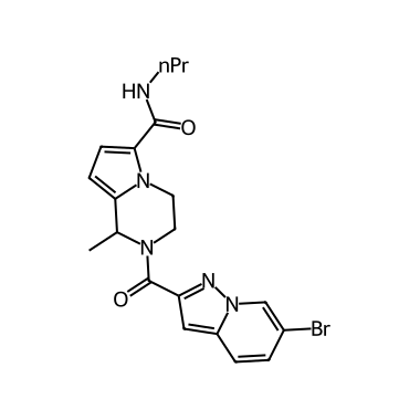 CCCNC(=O)c1ccc2n1CCN(C(=O)c1cc3ccc(Br)cn3n1)C2C